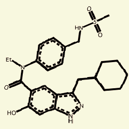 CCN(C(=O)c1cc2c(CC3CCCCC3)n[nH]c2cc1O)c1ccc(CNS(C)(=O)=O)cc1